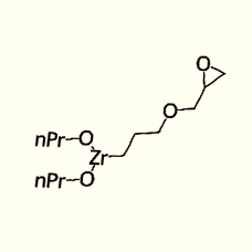 CCC[O][Zr]([CH2]CCOCC1CO1)[O]CCC